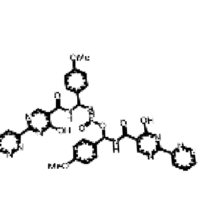 COc1ccc(C(NC(=O)c2cnc(-c3cccnn3)nc2O)O[PH](=O)OC(NC(=O)c2cnc(-c3cccnn3)nc2O)c2ccc(OC)cc2)cc1